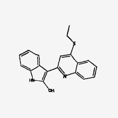 CCSc1cc(-c2c(O)[nH]c3ccccc23)nc2ccccc12